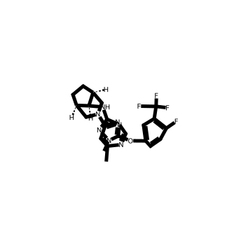 Cc1cc(N2C[C@H]3CC[C@@H](C2)[C@H]3Nc2nc(Oc3ccc(F)c(C(F)(F)F)c3)n(C)n2)ncn1